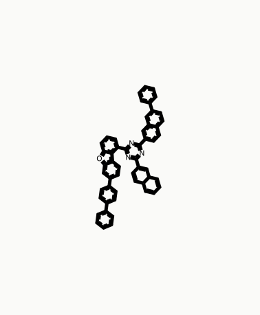 C1=CC2C=CC(c3nc(-c4ccc5ccc(-c6ccccc6)cc5c4)nc(-c4cccc5oc6cc(-c7ccc(-c8ccccc8)cc7)ccc6c45)n3)=CC2C=C1